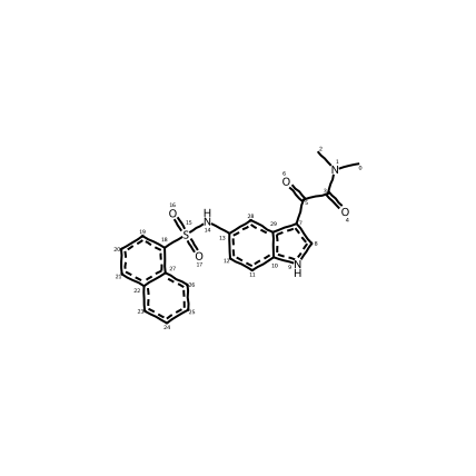 CN(C)C(=O)C(=O)c1c[nH]c2ccc(NS(=O)(=O)c3cccc4ccccc34)cc12